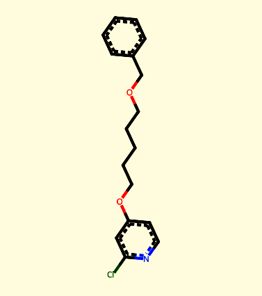 Clc1cc(OCCCCCOCc2ccccc2)ccn1